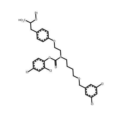 CCOC(Cc1ccc(OCCN(CCCCOCc2cc(Cl)cc(Cl)c2)C(=O)Oc2ccc(Cl)cc2Cl)cc1)C(=O)O